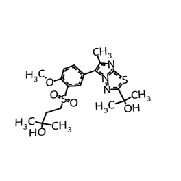 COc1ccc(-c2c(C)nc3sc(C(C)(C)O)nn23)cc1S(=O)(=O)CCC(C)(C)O